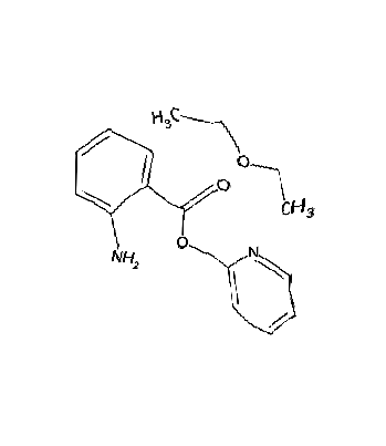 CCOCC.Nc1ccccc1C(=O)Oc1ccccn1